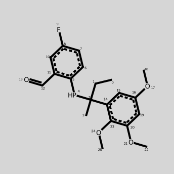 CCC(C)(Pc1ccc(F)cc1C=O)c1cc(OC)cc(OC)c1OC